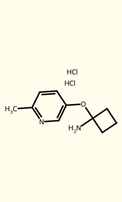 Cc1ccc(OC2(N)CCC2)cn1.Cl.Cl